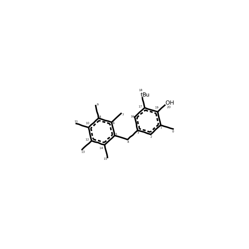 Cc1cc(Cc2c(C)c(C)c(C)c(C)c2C)cc(C(C)(C)C)c1O